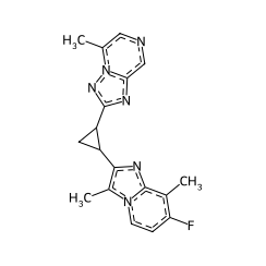 Cc1c(F)ccn2c(C)c(C3CC3c3nc4cncc(C)n4n3)nc12